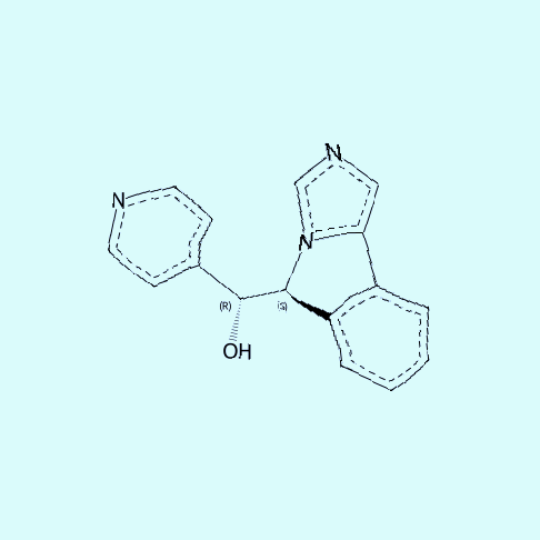 O[C@H](c1ccncc1)[C@@H]1c2ccccc2-c2cncn21